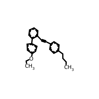 CCCCc1ccc(C#Cc2ccccc2-c2ccc(OCC)cc2)cc1